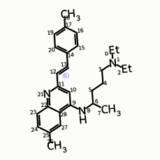 CCN(CC)CCCC(C)Nc1cc(/C=C/c2ccc(C)cc2)nc2ccc(C)cc12